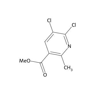 COC(=O)c1cc(Cl)c(Cl)nc1C